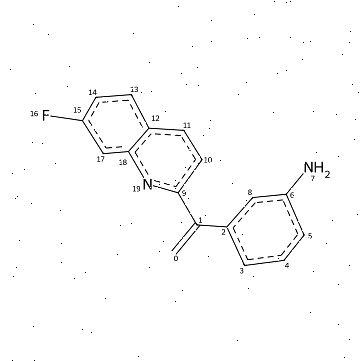 C=C(c1cccc(N)c1)c1ccc2ccc(F)cc2n1